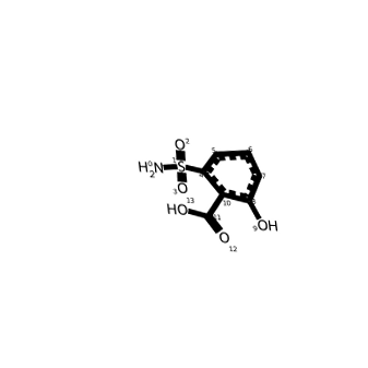 NS(=O)(=O)c1cccc(O)c1C(=O)O